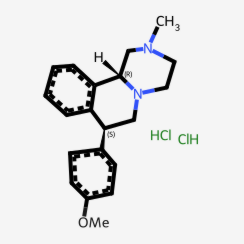 COc1ccc([C@@H]2CN3CCN(C)C[C@H]3c3ccccc32)cc1.Cl.Cl